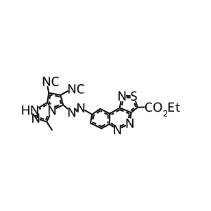 [C-]#[N+]c1c([N+]#[C-])c2[nH]nc(C)n2c1/N=N/c1ccc2nnc3c(C(=O)OCC)snc3c2c1